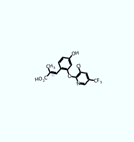 C/C(=C\c1ccc(O)cc1Oc1ncc(C(F)(F)F)cc1Cl)C(=O)O